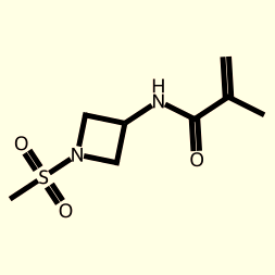 C=C(C)C(=O)NC1CN(S(C)(=O)=O)C1